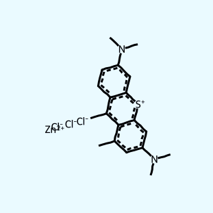 Cc1cc(N(C)C)cc2[s+]c3cc(N(C)C)ccc3c(C)c12.[Cl-].[Cl-].[Cl-].[Zn+2]